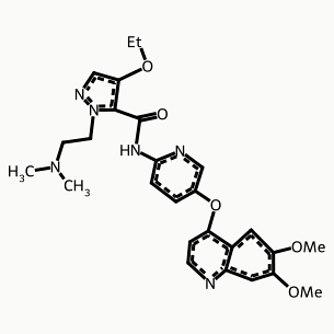 CCOc1cnn(CCN(C)C)c1C(=O)Nc1ccc(Oc2ccnc3cc(OC)c(OC)cc23)cn1